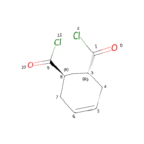 O=C(Cl)[C@@H]1CC=CC[C@H]1C(=O)Cl